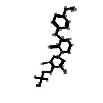 CC(C)(O)COc1c(F)cc(-n2ccnc(Sc3ccc(OC(F)(F)F)cc3)c2=O)cc1Cl